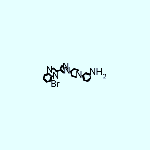 Nc1cccc(N2CCC(n3cc(-c4cnc5cccc(Br)c5n4)cn3)CC2)c1